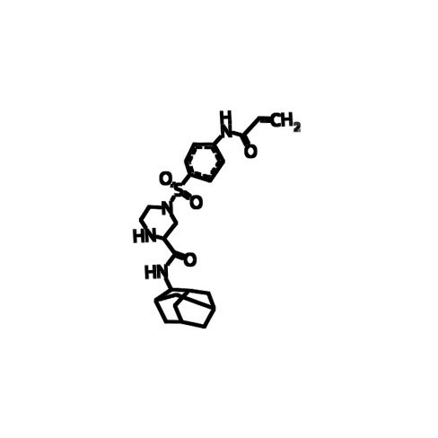 C=CC(=O)Nc1ccc(S(=O)(=O)N2CCNC(C(=O)NC3C4CC5CC(C4)CC3C5)C2)cc1